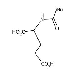 CCC(C)C(=O)NC(CCC(=O)O)C(=O)O